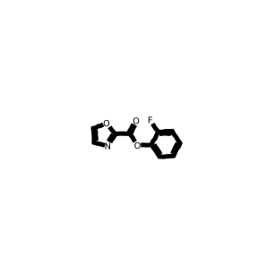 O=C(Oc1ccccc1F)c1ncco1